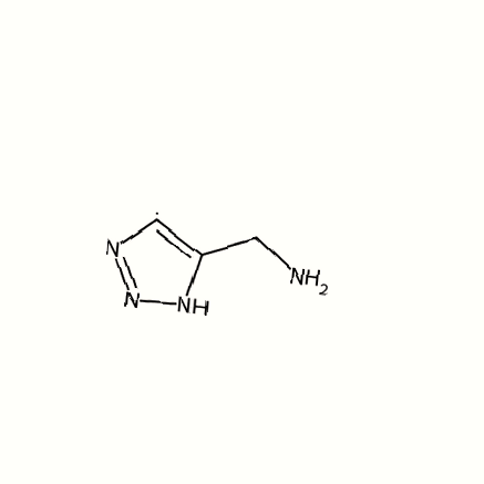 NCc1[c]nn[nH]1